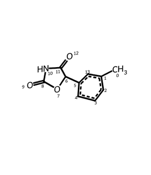 Cc1cccc(C2OC(=O)NC2=O)c1